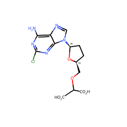 Nc1nc(Cl)nc2c1ncn2[C@H]1CC[C@@H](COC(C(=O)O)C(=O)O)O1